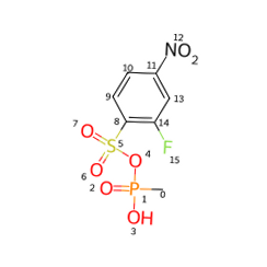 CP(=O)(O)OS(=O)(=O)c1ccc([N+](=O)[O-])cc1F